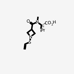 C=CSN1CC(C(=O)N(C)[C@H](C(=O)O)C(C)C)C1